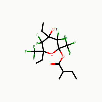 CCC(C)C(=O)OC1(C(F)(F)F)OC(CC)(C(F)(F)F)C(F)(F)C(O)(CC)C1(F)F